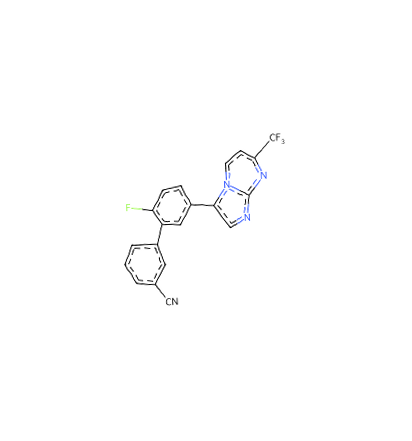 N#Cc1cccc(-c2cc(-c3cnc4nc(C(F)(F)F)ccn34)ccc2F)c1